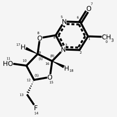 Cc1cn2c(nc1=O)O[C@H]1C(O)[C@@H](CF)O[C@H]12